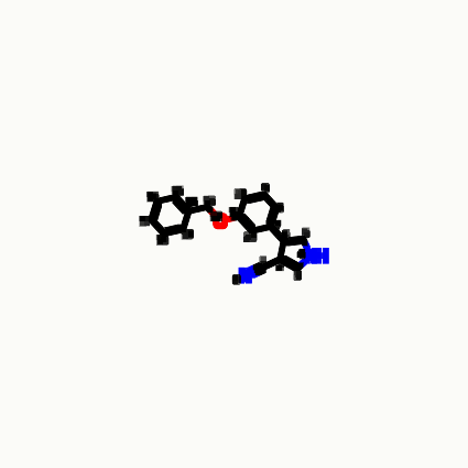 N#Cc1c[nH]cc1-c1cccc(OCc2ccccc2)c1